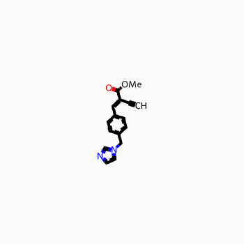 C#C/C(=C\c1ccc(Cn2ccnc2)cc1)C(=O)OC